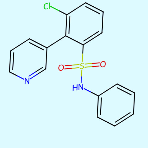 O=S(=O)(Nc1ccccc1)c1cccc(Cl)c1-c1cccnc1